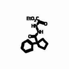 CCOC(=O)C(=O)NNC(=O)C1(c2ccccc2)CCCC1